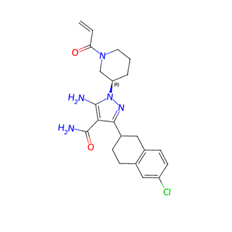 C=CC(=O)N1CCC[C@@H](n2nc(C3CCc4cc(Cl)ccc4C3)c(C(N)=O)c2N)C1